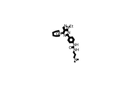 CCn1ncc2c(N3CC4CCC(C3)O4)nc(-c3ccc(NC(=O)NCCCN(C)C)cc3)nc21